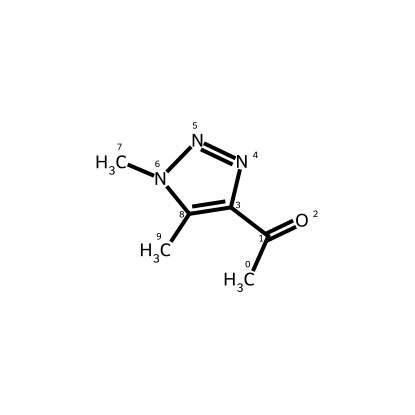 CC(=O)c1nnn(C)c1C